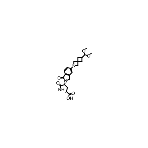 COC(OC)C1CC2(C1)CN(c1ccc3c(c1)CN(C(CCC(=O)O)C(N)=O)C3=O)C2